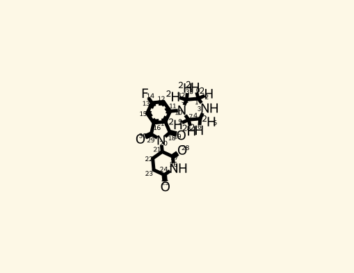 [2H]C1([2H])NC([2H])([2H])C([2H])([2H])N(c2cc(F)cc3c2C(=O)N(C2CCC(=O)NC2=O)C3=O)C1([2H])[2H]